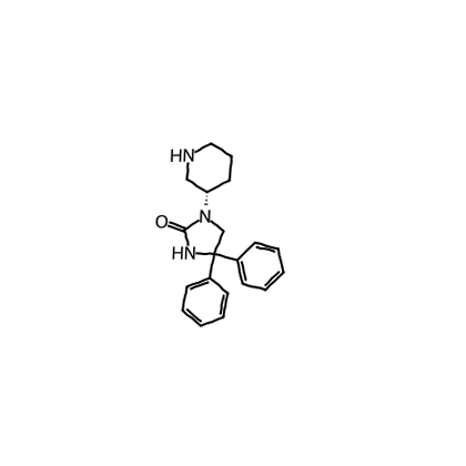 O=C1NC(c2ccccc2)(c2ccccc2)CN1[C@H]1CCCNC1